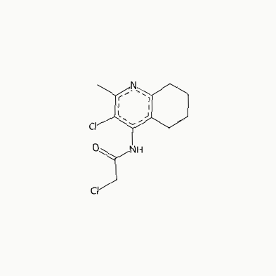 Cc1nc2c(c(NC(=O)CCl)c1Cl)CCCC2